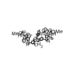 COC(=O)NC(C(=O)N1CCC[C@H]1c1ncc(-c2ccc3c(c2)cc2n3C(c3cc4c(s3)CCC4)Oc3cc(-c4cnc([C@@H]5CCCN5C(=O)[C@@H](NC(=O)OC)C(C)C)[nH]4)cc(C)c3-2)[nH]1)C1CCOC(C)(C)C1